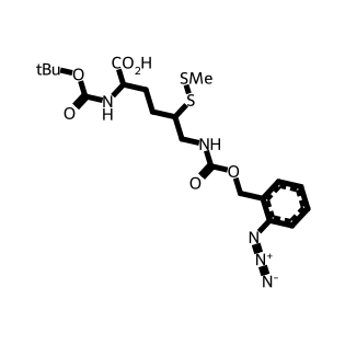 CSSC(CCC(NC(=O)OC(C)(C)C)C(=O)O)CNC(=O)OCc1ccccc1N=[N+]=[N-]